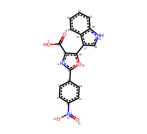 O=C(O)c1nc(-c2ccc([N+](=O)[O-])cc2)oc1-c1c[nH]c2ccccc12